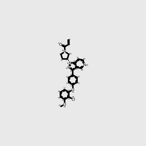 C=CC(=O)N1CC[C@@H](n2nc(-c3ccc(Oc4cccc(OC)c4Cl)cc3)c3cnccc32)C1